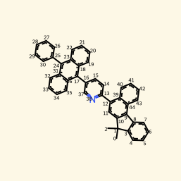 CC1(C)c2ccccc2-c2c1cc(-c1ccc(-c3c4ccccc4c(-c4ccccc4)c4ccccc34)cn1)c1ccccc21